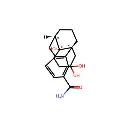 NC(=O)c1ccc2c(c1O)[C@]13CCC[C@H](C2)[C@]1(O)CCC(O)C3